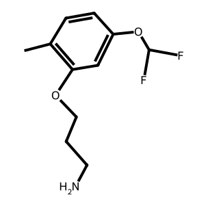 Cc1ccc(OC(F)F)cc1OCCCN